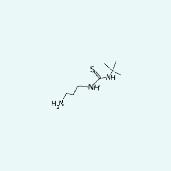 CC(C)(C)NC(=S)NCCCN